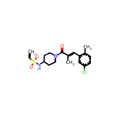 C=CS(=O)(=O)NC1CCN(C(=O)/C(C)=C/c2cc(Cl)ccc2C)CC1